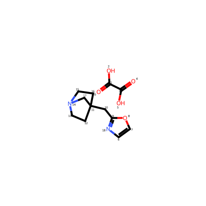 O=C(O)C(=O)O.c1coc(CC23CCN(CC2)C3)n1